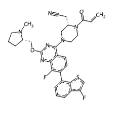 C=CC(=O)N1CCN(c2nc(OC[C@@H]3CCCN3C)nc3c(F)c(-c4cccc5c(F)csc45)ccc23)C[C@@H]1CC#N